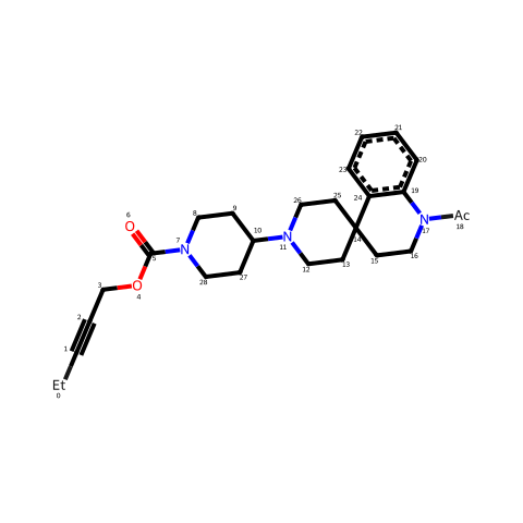 CCC#CCOC(=O)N1CCC(N2CCC3(CCN(C(C)=O)c4ccccc43)CC2)CC1